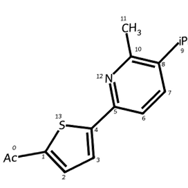 CC(=O)c1ccc(-c2ccc(C(C)C)c(C)n2)s1